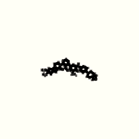 Cn1cc(-c2ccnc(-n3ccn4c5c(cc4c3=O)CC(C)(C)C5)c2CO)cc(Nc2ccc(N3CCC4(CC3)COC4)cn2)c1=O